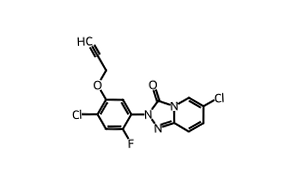 C#CCOc1cc(-n2nc3ccc(Cl)cn3c2=O)c(F)cc1Cl